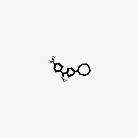 O=[N+]([O-])c1ccc(/C(=N/O)c2ccc(C3CCCCCCCC3)cc2)cc1